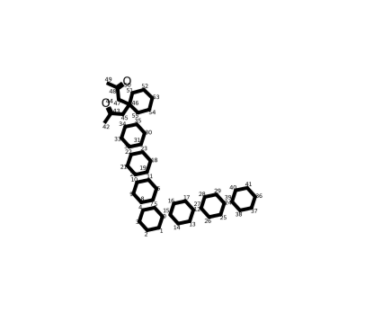 C1CCCCC1.C1CCCCC1.C1CCCCC1.C1CCCCC1.C1CCCCC1.C1CCCCC1.C1CCCCC1.CC(=O)CC1(CC(C)=O)CCCCC1